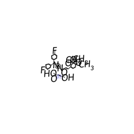 COc1ccc(C=CCN2CCN(C(c3ccc(F)cc3)c3ccc(F)cc3)CC2)c(OC)c1OC.O=C(O)/C=C/C(=O)O